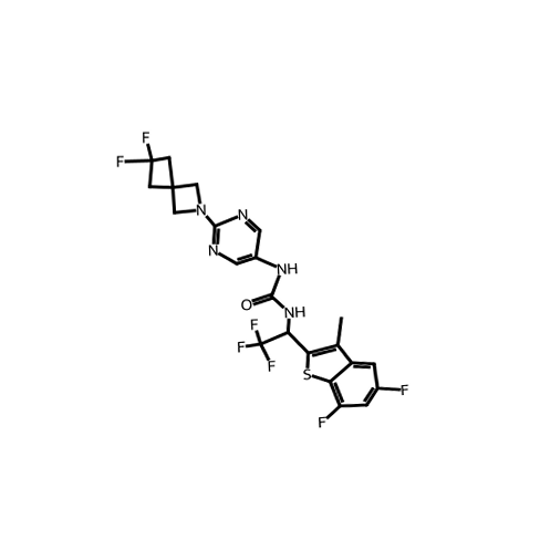 Cc1c(C(NC(=O)Nc2cnc(N3CC4(C3)CC(F)(F)C4)nc2)C(F)(F)F)sc2c(F)cc(F)cc12